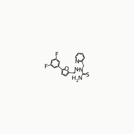 NC(=S)N(Cc1ccccn1)N=Cc1ccc(-c2cc(F)cc(F)c2)o1